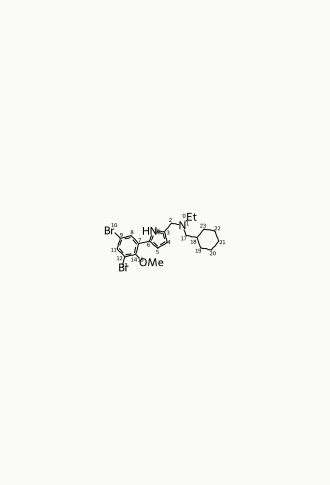 CCN(Cc1ccc(-c2cc(Br)cc(Br)c2OC)[nH]1)CC1CCCCC1